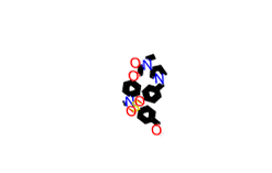 CCN(C(=O)COc1ccc(N(C)S(=O)(=O)c2ccc(COC)cc2)cc1)C1CCN(Cc2ccccc2)C1